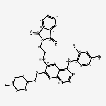 CN1CCC(COc2cc3ncnc(Nc4ccc(Br)cc4F)c3cc2NCCN2C(=O)c3ccccc3C2=O)CC1